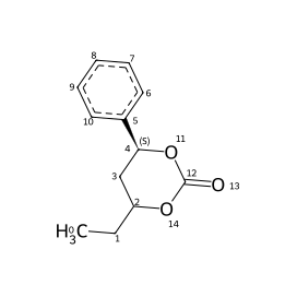 CCC1C[C@@H](c2ccccc2)OC(=O)O1